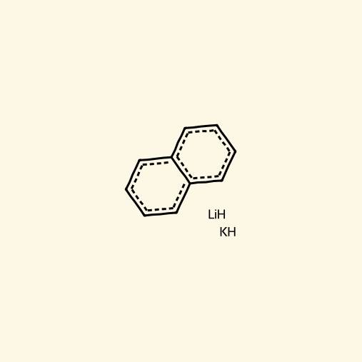 [KH].[LiH].c1ccc2ccccc2c1